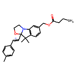 Cc1ccc(/C=C/C23OCCN2c2cc(COC(=O)CC[SiH3])ccc2C3(C)C)cc1